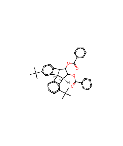 CC(C)(C)c1ccc2c(c1)[C@]13c4cccc(C(C)(C)C)c4[C@@H]1C(OC(=O)c1ccccc1)C(OC(=O)c1ccccc1)C23